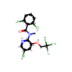 CN(C(=O)c1c(F)cccc1Cl)c1ncc(Br)cc1OCC(F)(F)F